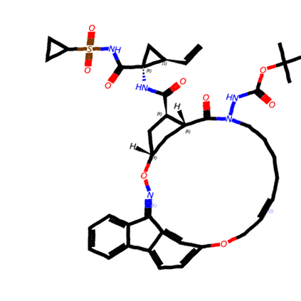 C=C[C@@H]1C[C@]1(NC(=O)[C@@H]1C[C@@H]2C[C@H]1C(=O)N(NC(=O)OC(C)(C)C)CCCC/C=C\COc1ccc3c(c1)/C(=N/O2)c1ccccc1-3)C(=O)NS(=O)(=O)C1CC1